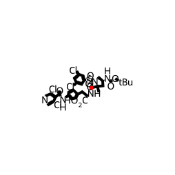 CC(C)(C)OC(=O)N[C@H]1CN(S(=O)(=O)c2cc(Cl)cc(Cl)c2)C(C)(C(=O)N[C@@H](Cc2ccc(NC(=O)c3c(Cl)cncc3Cl)cc2)C(=O)O)C1